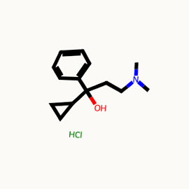 CN(C)CCC(O)(c1ccccc1)C1CC1.Cl